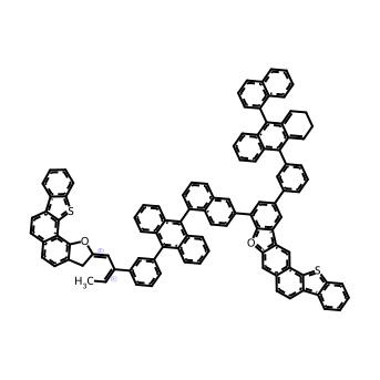 C/C=C(\C=C1/Cc2ccc3ccc4c5ccccc5sc4c3c2O1)c1cccc(-c2c3ccccc3c(-c3cccc4cc(-c5cc(-c6cccc(-c7c8c(c(-c9cccc%10ccccc9%10)c9ccccc79)=CCCC=8)c6)cc6c5oc5cc7ccc8c9ccccc9sc8c7cc56)ccc34)c3ccccc23)c1